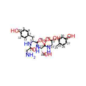 NCC(=O)N[C@@H](Cc1ccc(O)cc1)C(=O)N[C@@H](CO)C(=O)N[C@@H](Cc1ccc(O)cc1)C(=O)O